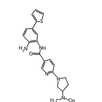 CN(C)C1CCN(c2ccc(C(=O)Nc3cc(-c4cccs4)ccc3N)cn2)C1